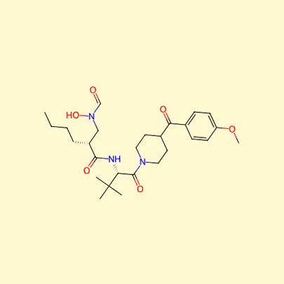 CCCC[C@H](CN(O)C=O)C(=O)N[C@H](C(=O)N1CCC(C(=O)c2ccc(OC)cc2)CC1)C(C)(C)C